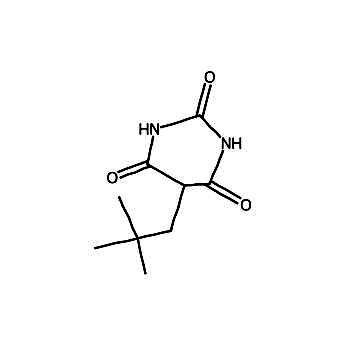 CC(C)(C)CC1C(=O)NC(=O)NC1=O